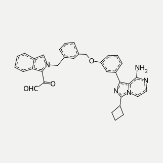 Nc1nccn2c(C3CCC3)nc(-c3cccc(OCc4cccc(Cn5cc6ccccc6c5C(=O)C=O)c4)c3)c12